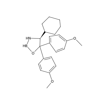 COc1ccc(C2(c3ccc(OC)cc3)OBN[C@H]2C2CCCCC2)cc1